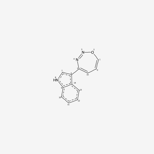 C1=CON=NC(c2c[nH]c3ccccc23)=C1